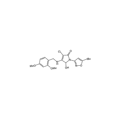 COc1ccc(CNC2=C(Cl)C(=O)N(c3cc(C(C)(C)C)on3)C2O)c(OC)c1